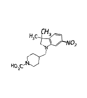 CC1(C)CN(CC2CCN(C(=O)O)CC2)c2cc([N+](=O)[O-])ccc21